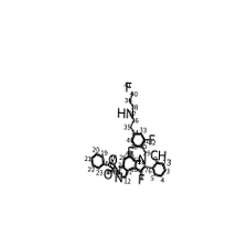 Cc1ccccc1-c1c(F)c2c3cnn(S(=O)(=O)c4ccccc4)c3ccc2n1Cc1c(F)cc(CCNCCCF)cc1F